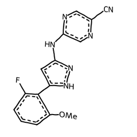 COc1cccc(F)c1-c1cc(Nc2cnc(C#N)cn2)n[nH]1